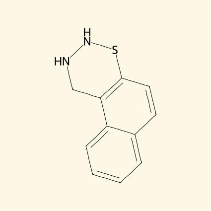 c1ccc2c3c(ccc2c1)SNNC3